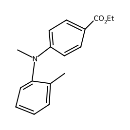 CCOC(=O)c1ccc(N(C)c2ccccc2C)cc1